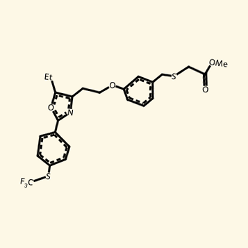 CCc1oc(-c2ccc(SC(F)(F)F)cc2)nc1CCOc1cccc(CSCC(=O)OC)c1